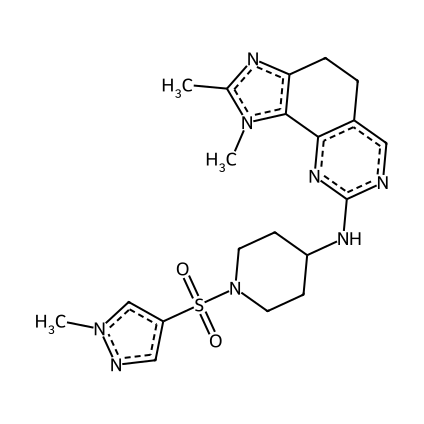 Cc1nc2c(n1C)-c1nc(NC3CCN(S(=O)(=O)c4cnn(C)c4)CC3)ncc1CC2